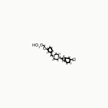 O=C(O)COc1cccc(CN2CCN(c3nc4ccc(Cl)cc4s3)CC2)c1